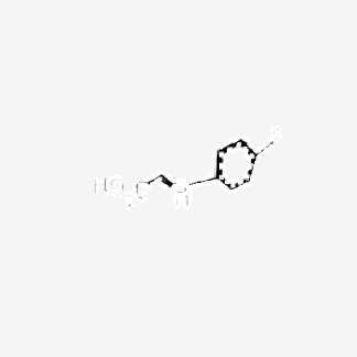 O=C(O)C=[SH]c1ccc(F)cc1